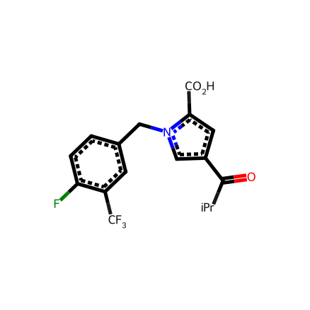 CC(C)C(=O)c1cc(C(=O)O)n(Cc2ccc(F)c(C(F)(F)F)c2)c1